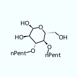 CCCCCO[C@@H]1[C@@H](O)[C@@H](O)O[C@H](CO)[C@H]1OCCCCC